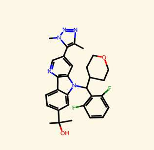 Cc1nnn(C)c1-c1cnc2c3ccc(C(C)(C)O)cc3n(C(c3c(F)cccc3F)C3CCOCC3)c2c1